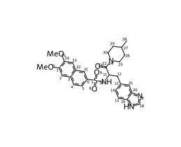 COc1cc2ccc(S(=O)(=O)NC(Cc3ccc4[nH]cnc4c3)C(=O)N3CCC(C)CC3)cc2cc1OC